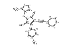 Cn1ccnc1CN1C(=O)C(C#Cc2ccccc2)=C(c2ccc(C(F)(F)F)cc2)C1=O